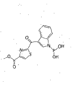 COC(=O)c1csc(C(=O)c2cn(P(O)O)c3ccccc23)n1